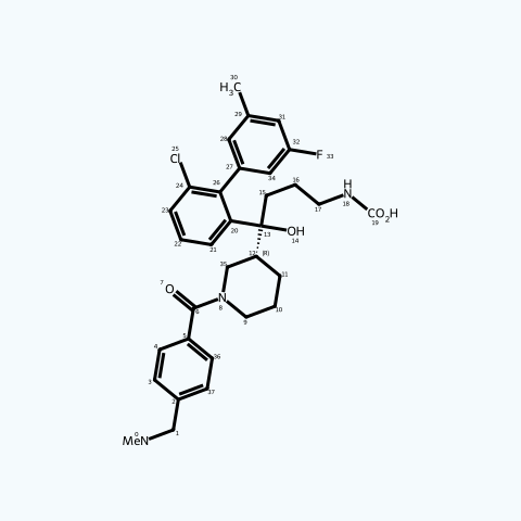 CNCc1ccc(C(=O)N2CCC[C@@H](C(O)(CCCNC(=O)O)c3cccc(Cl)c3-c3cc(C)cc(F)c3)C2)cc1